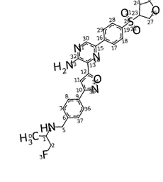 CC(CF)NCc1ccc(-c2cc(-c3nc(-c4ccc(S(=O)(=O)C5CCOC5)cc4)cnc3N)on2)cc1